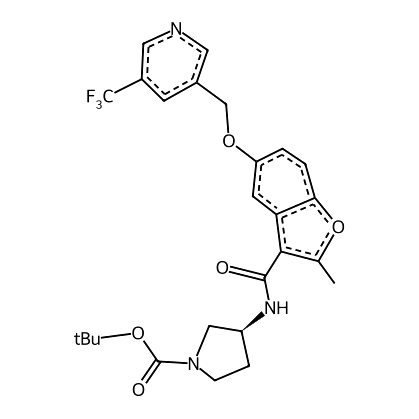 Cc1oc2ccc(OCc3cncc(C(F)(F)F)c3)cc2c1C(=O)N[C@H]1CCN(C(=O)OC(C)(C)C)C1